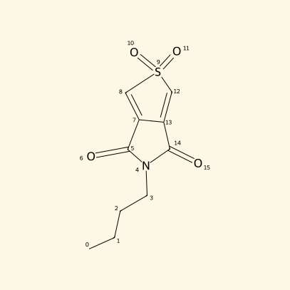 CCCCN1C(=O)C2=CS(=O)(=O)C=C2C1=O